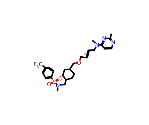 Cc1nccc(N(C)C/C=C/COCC2CCC(CN(C)S(=O)(=O)c3ccc(C(F)(F)F)cc3)CC2)n1